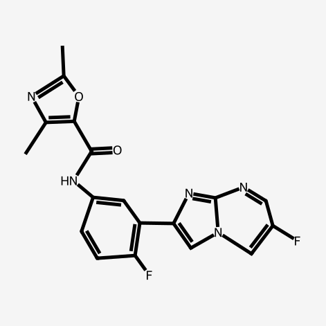 Cc1nc(C)c(C(=O)Nc2ccc(F)c(-c3cn4cc(F)cnc4n3)c2)o1